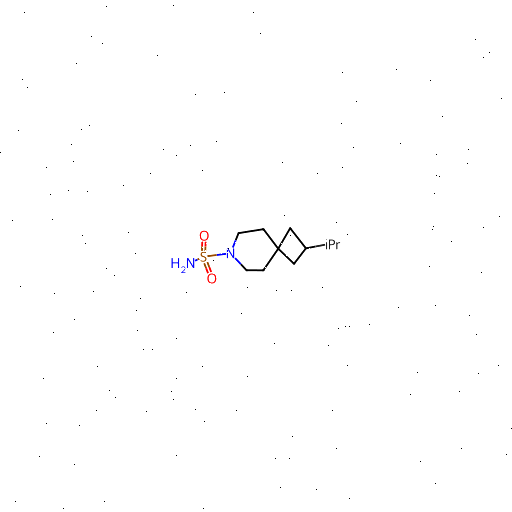 CC(C)C1CC2(CCN(S(N)(=O)=O)CC2)C1